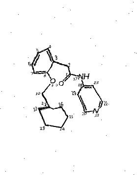 O=C(Cc1ccccc1OCC1CCCCC1)Nc1ccncc1